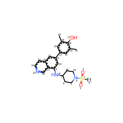 CCS(=O)(=O)N1CCC(Nc2cc(-c3cc(C)c(O)c(C)c3)cc3ccncc23)CC1